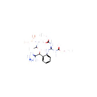 CC(C)C(OC(c1nnn[nH]1)c1ccccc1NC(=NC(=O)OC(C)(C)C)NC(=O)OC(C)(C)C)N(C(=O)O)[PH](=O)O